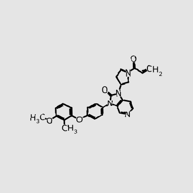 C=CC(=O)N1CCC(n2c(=O)n(-c3ccc(Oc4cccc(OC)c4C)cc3)c3cnccc32)C1